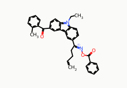 C=CCC/C(=N\OC(=O)c1ccccc1)c1ccc2c(c1)c1cc(C(=O)c3ccccc3C)ccc1n2CC